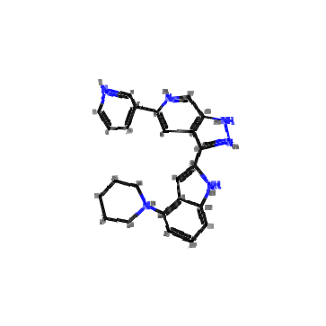 c1cncc(-c2cc3c(-c4cc5c(N6CCCCC6)cccc5[nH]4)n[nH]c3cn2)c1